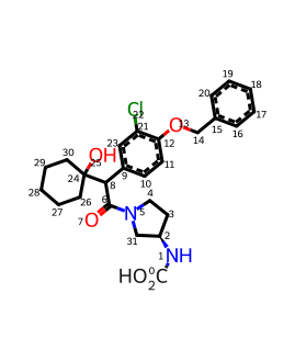 O=C(O)N[C@@H]1CCN(C(=O)C(c2ccc(OCc3ccccc3)c(Cl)c2)C2(O)CCCCC2)C1